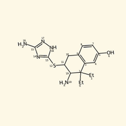 CCC1(CC)c2cc(O)ccc2CC(Sc2nc(N)n[nH]2)C1N